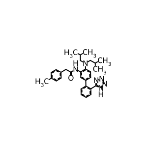 Cc1ccc(CC(=O)Nc2cc(-c3ccccc3-c3nnn[nH]3)ccc2N(CC(C)C)CC(C)C)cc1